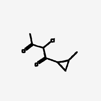 CC(=O)C(Cl)C(=O)C1CC1C